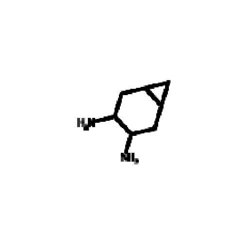 NC1CC2CC2CC1N